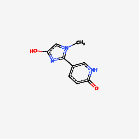 Cn1cc(O)nc1-c1ccc(=O)[nH]c1